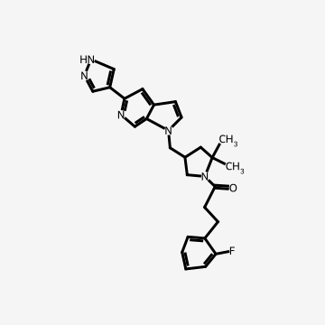 CC1(C)CC(Cn2ccc3cc(-c4cn[nH]c4)ncc32)CN1C(=O)CCc1ccccc1F